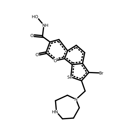 O=C(NO)c1cc2ccc3c(Br)c(CN4CCCNCC4)[se]c3c2oc1=O